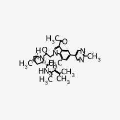 CC(=O)c1cn(CC(=O)N2[C@H](C(=O)N[C@H](C)C(F)=C(C)C)C[C@@]3(C)C[C@@H]23)c2c(C)cc(-c3cnc(C)nc3)cc12